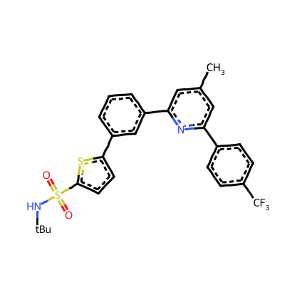 Cc1cc(-c2ccc(C(F)(F)F)cc2)nc(-c2cccc(-c3ccc(S(=O)(=O)NC(C)(C)C)s3)c2)c1